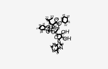 Cc1ncnc2c1ncn2[C@@H]1O[C@H](C(C)OP(=O)(NC(CC(C)C)C(=O)OC2CCCCC2)Oc2ccccc2)[C@@H](O)[C@H]1O